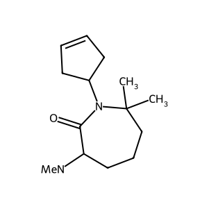 CNC1CCCC(C)(C)N(C2CC=CC2)C1=O